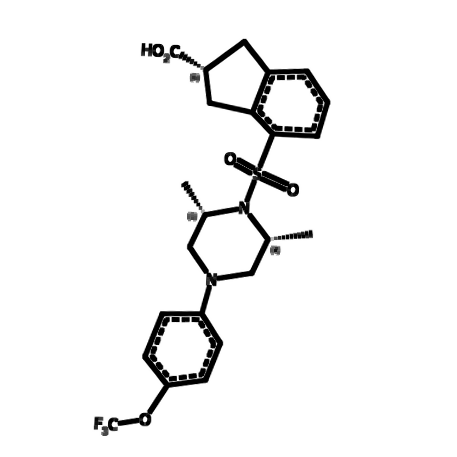 C[C@@H]1CN(c2ccc(OC(F)(F)F)cc2)C[C@H](C)N1S(=O)(=O)c1cccc2c1C[C@H](C(=O)O)C2